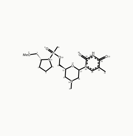 COC[C@H]1CCCN1P(C)(=O)OC[C@@H]1CN(C)CC(n2cc(C)c(=O)[nH]c2=O)O1